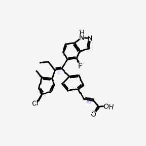 CC/C(=C(/c1ccc(/C=C/C(=O)O)cc1)c1ccc2[nH]ncc2c1F)c1ccc(Cl)cc1C